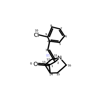 O=C1/C(=C/c2ccccc2Cl)N2CCC1CC2